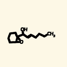 CCCCC=CC(O)C12CCCCC1O2